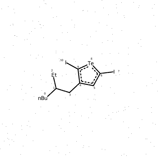 CCCCC(CC)Cc1cc(I)[te]c1I